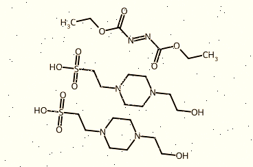 CCOC(=O)N=NC(=O)OCC.O=S(=O)(O)CCN1CCN(CCO)CC1.O=S(=O)(O)CCN1CCN(CCO)CC1